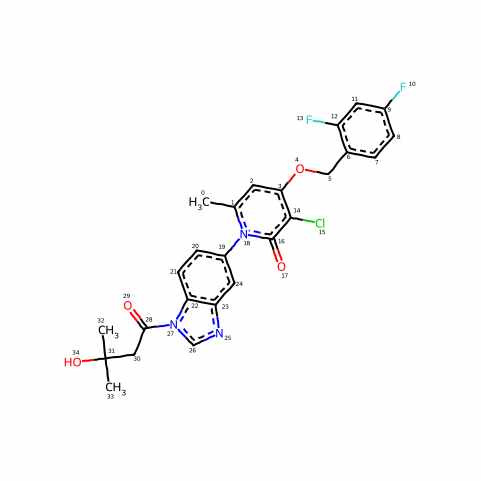 Cc1cc(OCc2ccc(F)cc2F)c(Cl)c(=O)n1-c1ccc2c(c1)ncn2C(=O)CC(C)(C)O